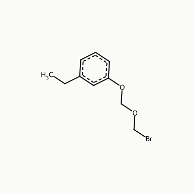 CCc1cccc(OCOCBr)c1